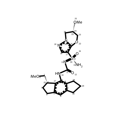 COC[C@H]1CCc2cc3c(c(NC(=O)N=[S@](N)(=O)c4cnn5c4OC[C@@H](OC)C5)c21)CCC3